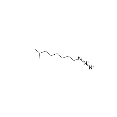 CC(C)CCCCCCN=[N+]=[N-]